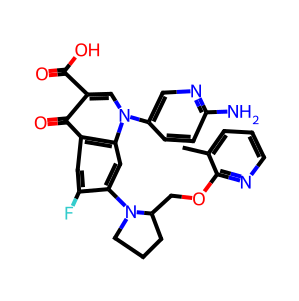 Cc1cccnc1OCC1CCCN1c1cc2c(cc1F)c(=O)c(C(=O)O)cn2-c1ccc(N)nc1